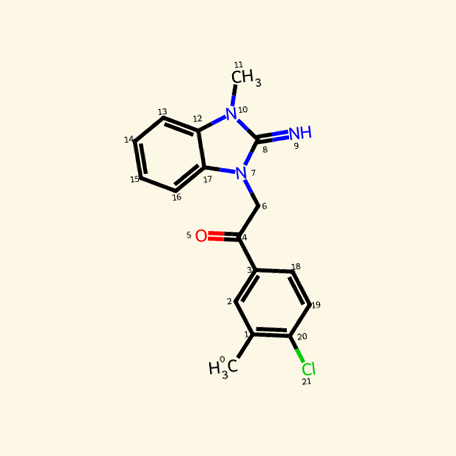 Cc1cc(C(=O)Cn2c(=N)n(C)c3ccccc32)ccc1Cl